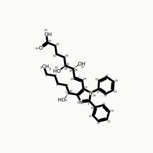 CCCCC[C@@H](O)c1nc(-c2ccccc2)n(-c2ccccc2)c1/C=C/[C@@H](O)[C@@H](O)CCCC(=O)O